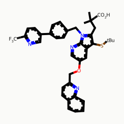 CC(C)(C)Sc1c(CC(C)(C)C(=O)O)n(Cc2ccc(-c3ccc(C(F)(F)F)nc3)cc2)c2ncc(OCc3ccc4ccccc4n3)cc12